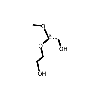 CO[C@H](CO)OCCO